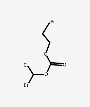 CCC(Cl)OC(=O)OCCC(C)C